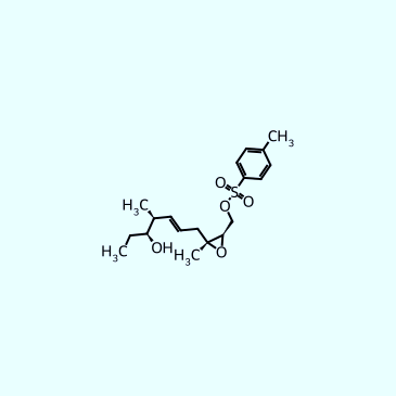 CC[C@H](O)[C@@H](C)/C=C/C[C@@]1(C)O[C@@H]1COS(=O)(=O)c1ccc(C)cc1